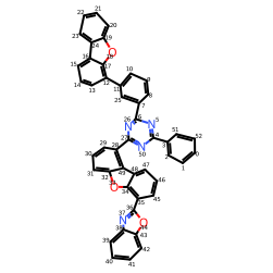 c1ccc(-c2nc(-c3cccc(-c4cccc5c4oc4ccccc45)c3)nc(-c3cccc4oc5c(-c6nc7ccccc7o6)cccc5c34)n2)cc1